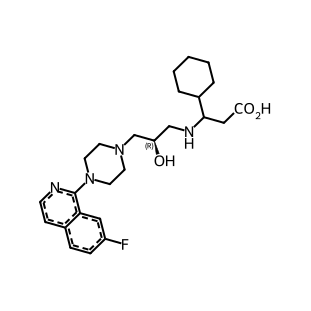 O=C(O)CC(NC[C@@H](O)CN1CCN(c2nccc3ccc(F)cc23)CC1)C1CCCCC1